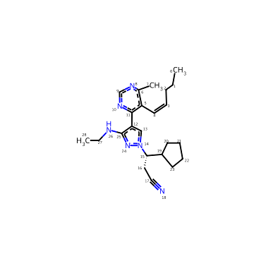 CCC/C=C\c1c(C)ncnc1-c1cn([C@@H](CC#N)C2CCCC2)nc1NCC